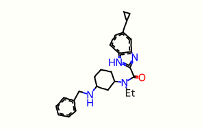 CCN(C(=O)c1nc2cc(C3CC3)ccc2[nH]1)C1CCCC(NCc2ccccc2)C1